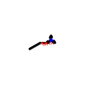 C=C=C=C=C=C=C=C=C=C=C=C=COCC(O)COc1ccc(-c2nc(-c3ccc(C)cc3C)nc(-c3ccc(C)cc3C)n2)c(O)c1